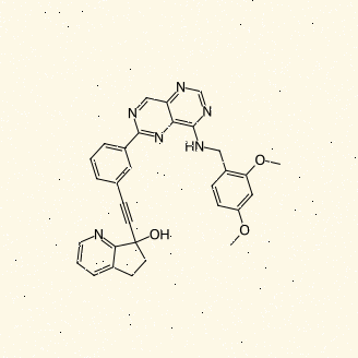 COc1ccc(CNc2ncnc3cnc(-c4cccc(C#CC5(O)CCc6cccnc65)c4)nc23)c(OC)c1